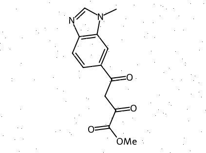 COC(=O)C(=O)CC(=O)c1ccc2ncn(C)c2c1